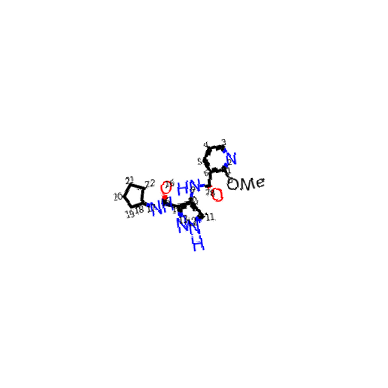 COc1ncccc1C(=O)Nc1c[nH]nc1C(=O)NC1CCCC1